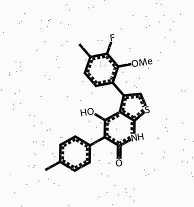 COc1c(-c2csc3[nH]c(=O)c(-c4ccc(C)cc4)c(O)c23)ccc(C)c1F